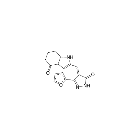 O=C1NN=C(c2ccco2)/C1=C\C1=CC2C(=O)CCCC2N1